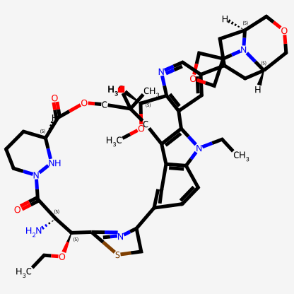 CCO[C@@H]1C2=NC(CS2)c2ccc3c(c2)c(c(-c2cc(C4C[C@H]5COC[C@H](C4)N5C4COC4)cnc2[C@H](C)OC)n3CC)CC(C)(C)COC(=O)[C@@H]2CCCN(N2)C(=O)[C@H]1N